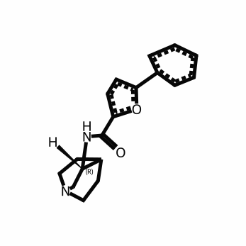 O=C(N[C@H]1CN2CCC1CC2)c1ccc(-c2ccccc2)o1